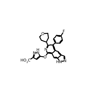 O=C(O)c1cc(Oc2nc(C3CCOCC3)c(-c3ccc(F)cc3)c3cc4cn[nH]c4cc23)[nH]n1